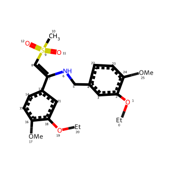 CCOc1cc(CN/C(=C\S(C)(=O)=O)c2ccc(OC)c(OCC)c2)ccc1OC